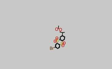 CC(=O)OCC(C)c1ccc2c(c1)S(=O)(=O)c1cc(Br)ccc1S2(=O)=O